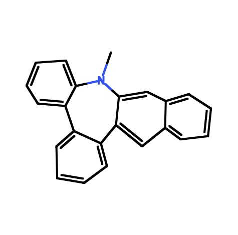 CN1c2ccccc2-c2ccccc2-c2cc3ccccc3cc21